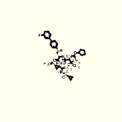 C=C[C@@H]1C[C@]1(NC(=O)[C@H](CNc1ccc(-c2cccc(F)c2)cc1)NC(=O)[C@@H](NC(=O)OC1CCCC1)C(C)(C)C)C(=O)NS(=O)(=O)C1CC1